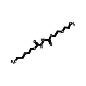 CCCOCCOC(=O)NNC(=O)OCCOCCC